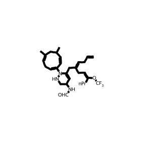 C=CC/C=C(\C/C=C(\CCC)OC(F)(F)F)CC1=CC(NC=O)CNN1/C1=C/C/C=C(/C)CC(C)C=C1